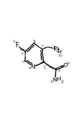 NC(=O)c1ncc(F)cc1Br